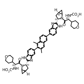 Cc1cc2cc(-c3ccc4[nH]c([C@@H]5C[C@H]6CC6N5C(=O)[C@H](NC(=O)O)C5CCOCC5)nc4c3)ccc2c(C)c1-c1ccc2[nH]c([C@@H]3C[C@H]4CC4N3C(=O)[C@H](NC(=O)O)C3CCOCC3)nc2c1